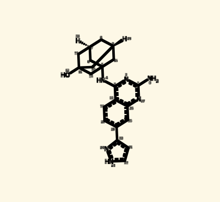 Nc1nc(NC23C[C@@H]4C[C@@H](CC(O)(C4)C2)C3)c2ccc(-c3cc[nH]n3)cc2n1